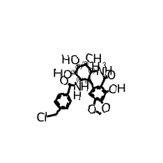 C[C@@H]1[C@H](O)[C@@H](O)[C@H](NC(=O)c2ccc(CCl)cc2)[C@@H]2c3cc4c(c(O)c3C(=O)N[C@@H]12)OCO4